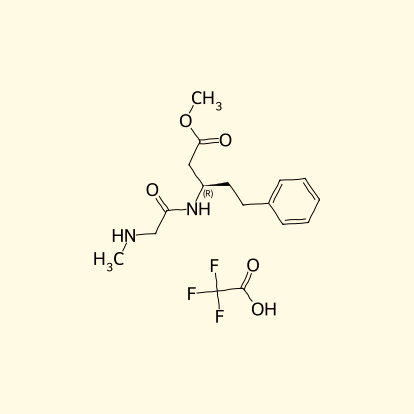 CNCC(=O)N[C@H](CCc1ccccc1)CC(=O)OC.O=C(O)C(F)(F)F